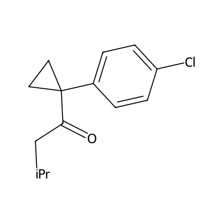 CC(C)CC(=O)C1(c2ccc(Cl)cc2)CC1